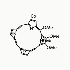 COc1c(OC)c2c(OC)c3nc(cc4ccc(cc5nc(cc1n2OC)C=C5)[nH]4)C=C3.[Co]